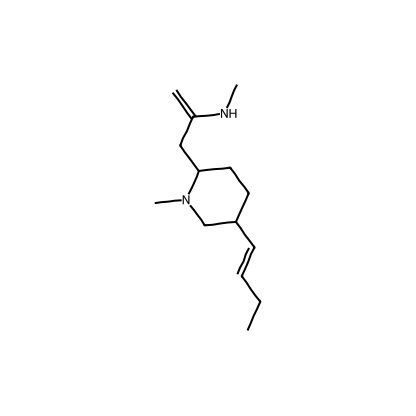 C=C(CC1CCC(/C=C/CC)CN1C)NC